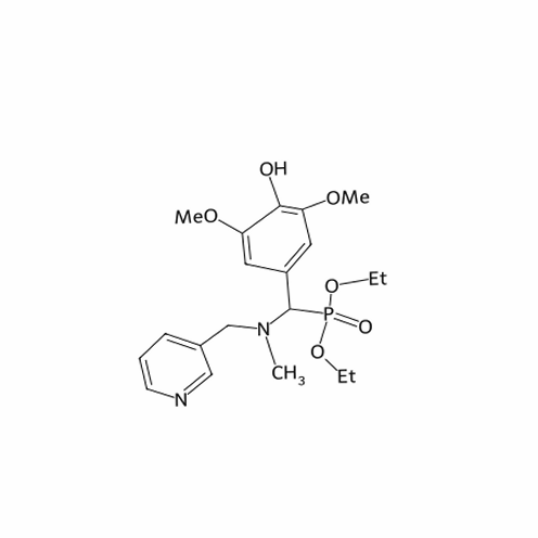 CCOP(=O)(OCC)C(c1cc(OC)c(O)c(OC)c1)N(C)Cc1cccnc1